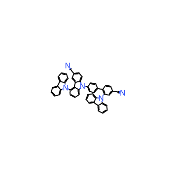 N#Cc1ccc(-c2ccc(-n3c4ccc(C#N)cc4c4c(-n5c6ccccc6c6ccccc65)cccc43)cc2)c(-n2c3ccccc3c3ccccc32)c1